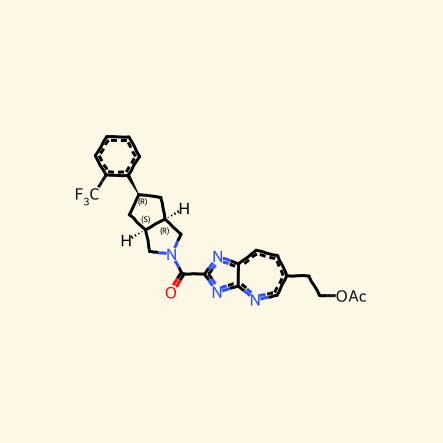 CC(=O)OCCc1ccc2nc(C(=O)N3C[C@H]4C[C@@H](c5ccccc5C(F)(F)F)C[C@H]4C3)nc-2nc1